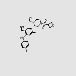 Cc1cc(Nc2ccc(F)cc2)c(C=N)cc1[C@H]1CN(S(=O)(=O)C2COC2)CCN1CC(C)C